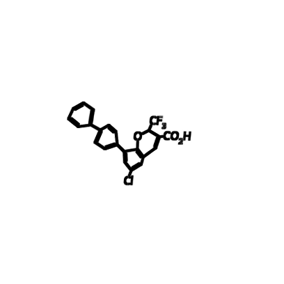 O=C(O)C1=Cc2cc(Cl)cc(-c3ccc(-c4ccccc4)cc3)c2OC1C(F)(F)F